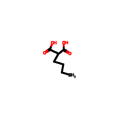 O=C(O)C(CCC[SiH3])C(=O)O